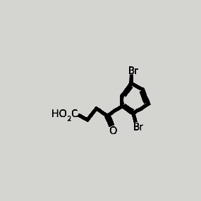 O=C(O)CCC(=O)c1cc(Br)ccc1Br